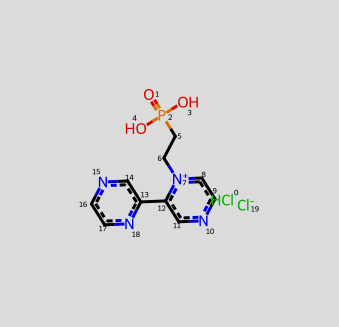 Cl.O=P(O)(O)CC[n+]1ccncc1-c1cnccn1.[Cl-]